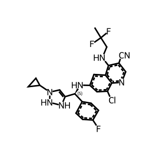 CC(F)(F)CNc1c(C#N)cnc2c(Cl)cc(N[C@H](C3=CN(C4CC4)NN3)c3ccc(F)cc3)cc12